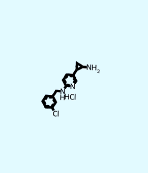 Cl.NC1CC1c1ccc(NCc2cccc(Cl)c2)nc1